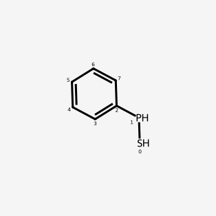 SPc1ccccc1